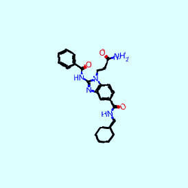 NC(=O)CCn1c(NC(=O)c2ccccc2)nc2cc(C(=O)NCC3CCCCC3)ccc21